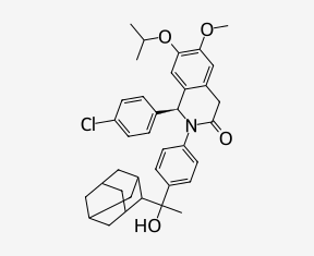 COc1cc2c(cc1OC(C)C)[C@H](c1ccc(Cl)cc1)N(c1ccc(C(C)(O)C3C4CC5CC(C4)CC3C5)cc1)C(=O)C2